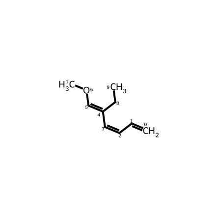 C=C/C=C\C(=C\OC)CC